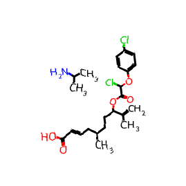 C=C(C)C(CCC(C)CC=CC(=O)O)OC(=O)C(Cl)Oc1ccc(Cl)cc1.CC(C)N